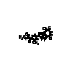 C=CN(C=O)C(=O)c1ccc(C2=NO[C@@](C3=C/C(Cl)/C=C\C(F)/C(Cl)=C\3)(C(F)(F)F)C2)cc1C